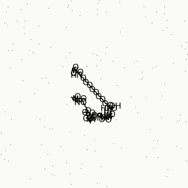 COc1cc2c(cc1OCCCCCOc1cc3c(cc1OC)C(=O)N1C=C(C)C[C@H]1[C@H](O)N3C(=O)OCc1ccc(NC(=O)[C@H](C)NC(=O)[C@@H](NC(=O)CC[C@H](NC(=O)CCOCCOCCOCCOCCOCCOCCOCCOCCNC(=O)CCN3C(=O)C=CC3=O)C(=O)O)C(C)C)cc1)N=CC1CC(C)=CN1C2=O